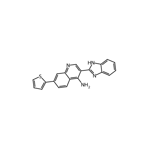 Nc1c(-c2nc3ccccc3[nH]2)cnc2cc(-c3cccs3)ccc12